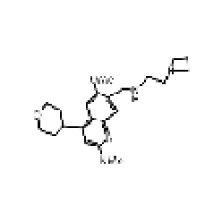 CNc1cc(C2CCOCC2)c2cc(OC)c(CNCCN3CCC3)cc2n1